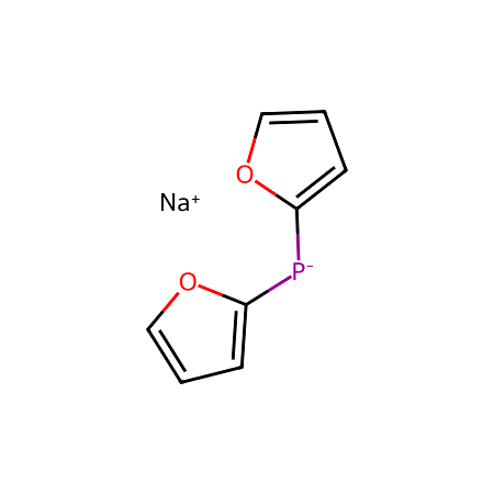 [Na+].c1coc([P-]c2ccco2)c1